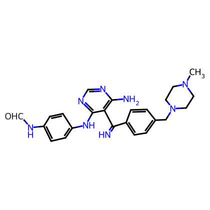 CN1CCN(Cc2ccc(C(=N)c3c(N)ncnc3Nc3ccc(NC=O)cc3)cc2)CC1